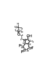 Cc1c(O)n(CCO[Si](C)(C)C(C)(C)C)c2c(F)c(F)cc(F)c12